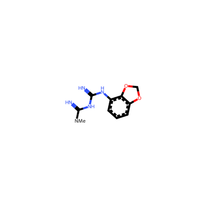 CNC(=N)NC(=N)Nc1cccc2c1OCO2